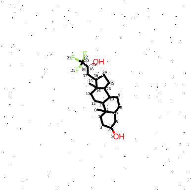 CC12CCC(O)CC1CCC1C2CCC2(C)C(C[C@@H](O)C(F)(F)F)CCC12